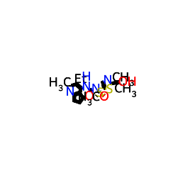 CCc1c(C)nc2c(c1NC(=O)N=S(C)(=O)c1cnc(C(C)(C)O)s1)CCC2